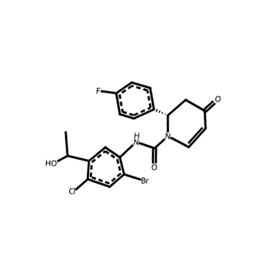 CC(O)c1cc(NC(=O)N2C=CC(=O)C[C@H]2c2ccc(F)cc2)c(Br)cc1Cl